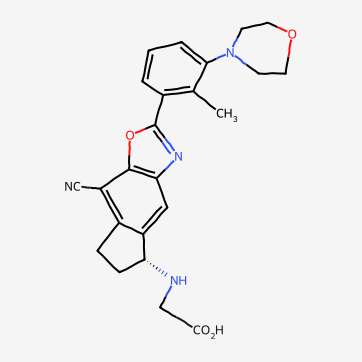 Cc1c(-c2nc3cc4c(c(C#N)c3o2)CC[C@H]4NCC(=O)O)cccc1N1CCOCC1